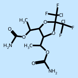 CC(OC(N)=O)C1OC(C(F)(F)Cl)(C(F)(F)Cl)OC1C(C)OC(N)=O